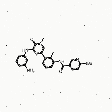 Cc1c(NC(=O)c2ccc(C(C)(C)C)nc2)cccc1-c1cn(C)c(=O)c(Nc2cccc(N)c2)n1